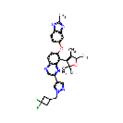 CC1=C(c2c(Oc3ccc4nc(C)[nH]c4c3)ccc3ncc(-c4cnn(CC5CC(F)(F)C5)c4)nc23)C(C)(C)OC1C